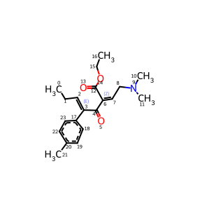 CC/C=C(/C(=O)/C(=C/CN(C)C)C(=O)OCC)c1ccc(C)cc1